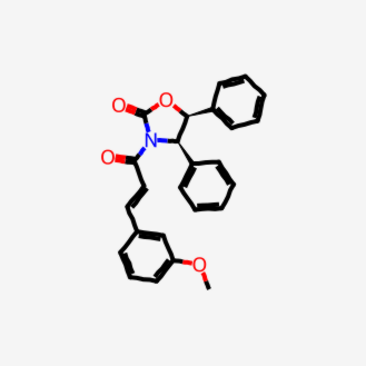 COc1cccc(/C=C/C(=O)N2C(=O)O[C@@H](c3ccccc3)[C@H]2c2ccccc2)c1